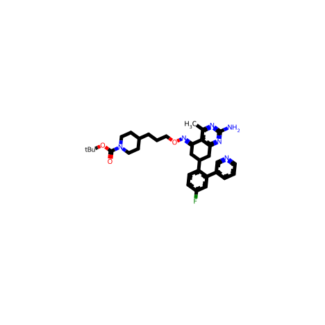 Cc1nc(N)nc2c1/C(=N/OCCCC1CCN(C(=O)OC(C)(C)C)CC1)CC(c1ccc(F)cc1-c1cccnc1)C2